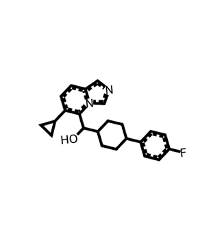 OC(c1c(C2CC2)ccc2cncn12)C1CCC(c2ccc(F)cc2)CC1